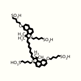 CC1(C)C(=CC=CC=CC=CC2N(CCCCS(=O)(=O)O)c3ccc4ccc(OCCCCS(=O)(=O)O)cc4c3C2(C)C)N(CCCCS(=O)(=O)O)c2ccc3ccc(OCCCCS(=O)(=O)O)cc3c21